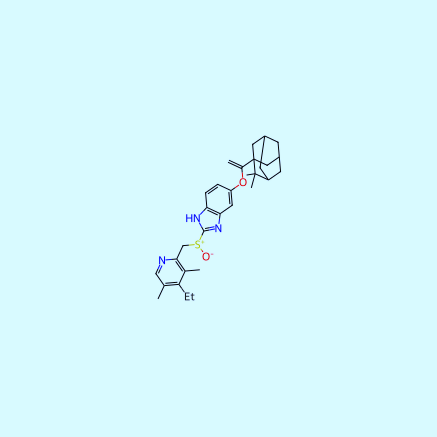 C=C(Oc1ccc2[nH]c([S+]([O-])Cc3ncc(C)c(CC)c3C)nc2c1)C12CC3CC(CC(C3)C1(C)C)C2